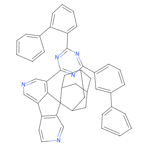 c1ccc(-c2cccc(-c3nc(-c4ccccc4-c4ccccc4)nc(-c4cncc5c4C4(c6cnccc6-5)C5CC6CC(C5)CC4C6)n3)c2)cc1